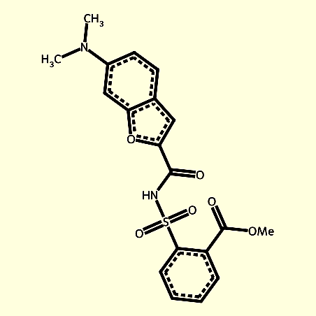 COC(=O)c1ccccc1S(=O)(=O)NC(=O)c1cc2ccc(N(C)C)cc2o1